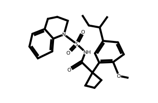 CCC(C)c1ccc(OC)c(C2(C(=O)NS(=O)(=O)N3CCCc4ccccc43)CCC2)c1